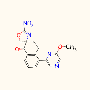 COc1cncc(-c2cccc3c2CC[C@@]2(COC(N)=N2)C3=O)n1